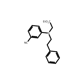 CCOC(=O)CN(CCc1ccccc1)c1cccc(C#N)c1